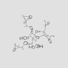 OCC(CO)(C(O)OCC1CO1)C(OCC1CO1)(OCC1CO1)OOCC1CO1